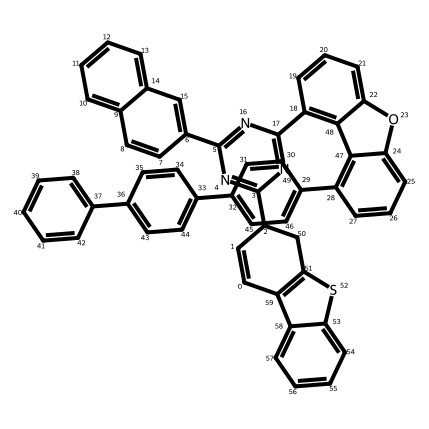 C1=CC(c2nc(-c3ccc4ccccc4c3)nc(-c3cccc4oc5cccc(-c6ccc(-c7ccc(-c8ccccc8)cc7)cc6)c5c34)n2)Cc2sc3ccccc3c21